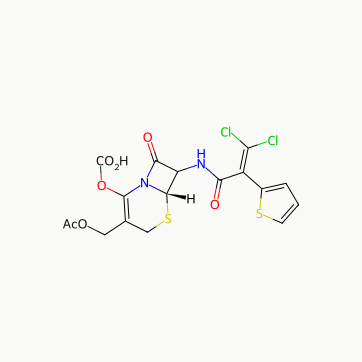 CC(=O)OCC1=C(OC(=O)O)N2C(=O)C(NC(=O)C(=C(Cl)Cl)c3cccs3)[C@@H]2SC1